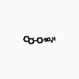 O=S(=O)(O)c1ccc(-c2[c]c3ccccc3cc2)cc1